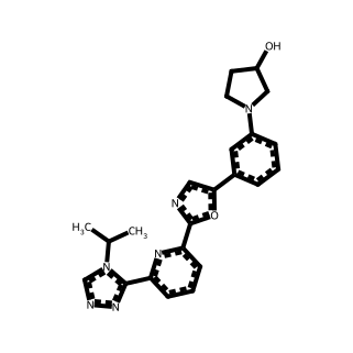 CC(C)n1cnnc1-c1cccc(-c2ncc(-c3cccc(N4CCC(O)C4)c3)o2)n1